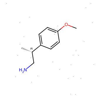 COc1ccc([C@@H](C)CN)cc1